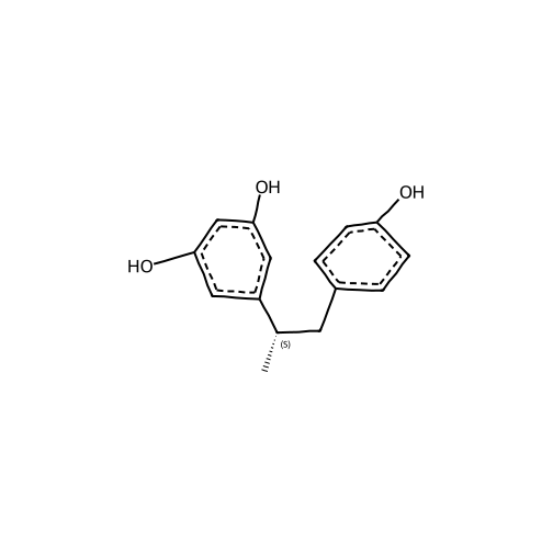 C[C@@H](Cc1ccc(O)cc1)c1cc(O)cc(O)c1